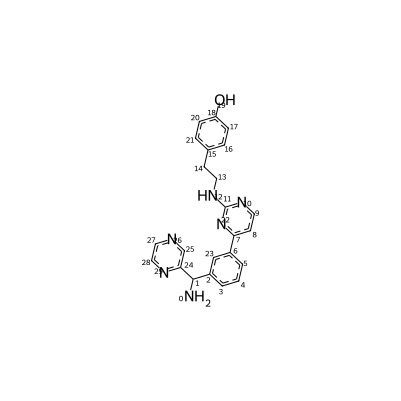 NC(c1cccc(-c2ccnc(NCCc3ccc(O)cc3)n2)c1)c1cnccn1